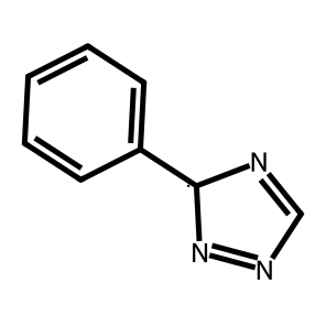 C1=N[C](c2ccccc2)N=N1